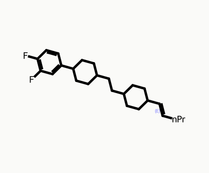 CCC/C=C/C1CCC(CCC2CCC(c3ccc(F)c(F)c3)CC2)CC1